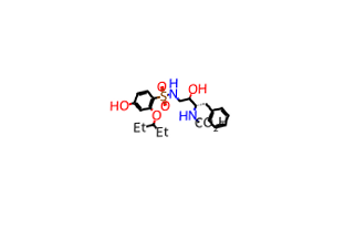 CCC(CC)Oc1cc(O)ccc1S(=O)(=O)NC[C@@H](O)[C@H](Cc1ccccc1)NC(=O)O